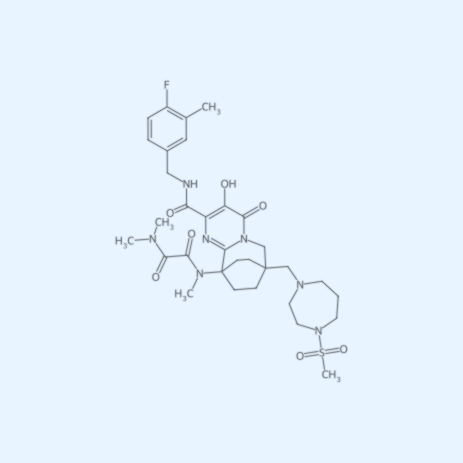 Cc1cc(CNC(=O)c2nc3n(c(=O)c2O)CC2(CN4CCCN(S(C)(=O)=O)CC4)CCC3(N(C)C(=O)C(=O)N(C)C)CC2)ccc1F